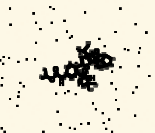 CC(C)OC(=O)Nc1ccc(-c2cnc(C3CC4CCC(C3)C4NC(=O)OC(C)C)s2)c(S(=O)(=O)NC(C)(C)C)c1